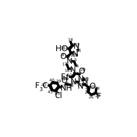 CCc1c(N2CCN(C(=O)c3ncnc(C)c3O)CC2)c(=O)n2nc(C3=CC[C@H](F)CO3)nc2n1CC(=O)Nc1ccc(C(F)(F)F)cc1Cl